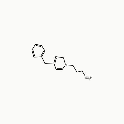 O=S(=O)(O)CCCN1C=CC(Cc2ccccc2)=CC1